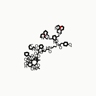 COc1ccc(CC(=O)N(CCCNC(=O)CCC(=O)O[C@@H](C(=O)O[C@H]2C[C@@]3(O)[C@@H](OC(=O)c4ccccc4)[C@@H]4[C@]5(OC(C)=O)CO[C@@H]5C[C@H](O)[C@@]4(C)C(=O)[C@H](OC(C)=O)C(=C2C)C3(C)C)[C@@H](NC(=O)c2ccccc2)c2ccccc2)c2nc3c(CN(Cc4ccccn4)Cc4ccccn4)ccc(CN(Cc4ccccn4)Cc4ccccn4)c3s2)cc1